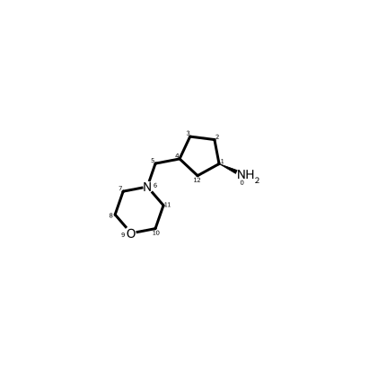 N[C@@H]1CCC(CN2CCOCC2)C1